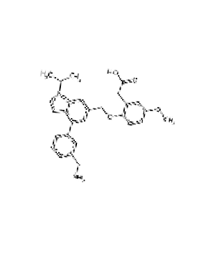 COc1ccc(OCc2cc(-c3cccc(CN)c3)c3ccn(C(C)C)c3c2)c(CC(=O)O)c1